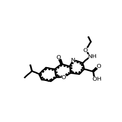 CCONc1nc2c(=O)c3cc(C(C)C)ccc3oc2cc1C(=O)O